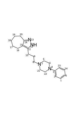 c1ccc(N2CCN(CCCc3[nH]nc4c3CCCCC4)CC2)cc1